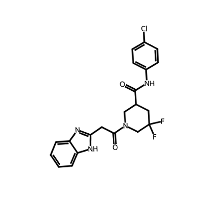 O=C(Nc1ccc(Cl)cc1)C1CN(C(=O)Cc2nc3ccccc3[nH]2)CC(F)(F)C1